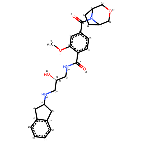 COc1cc(C(=O)N2C3CCC2COC3)ccc1C(=O)NC[C@@H](O)CNC1Cc2ccccc2C1